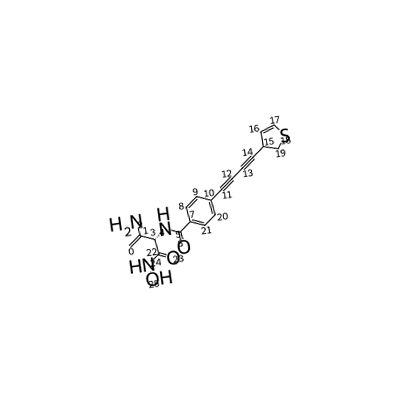 C=C(N)[C@H](NC(=O)c1ccc(C#CC#CC2C=CSC2)cc1)C(=O)NO